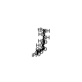 CC(C)C(=O)OC(CO)COC(=O)CCC(=O)OCC(O)COC(=O)NCCNCCNCCNC(C)(C)C